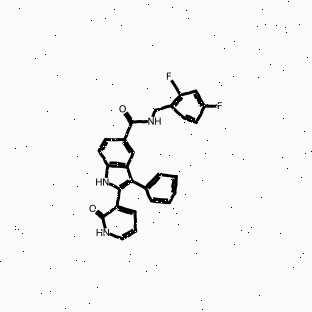 O=C(NCc1ccc(F)cc1F)c1ccc2[nH]c(-c3ccc[nH]c3=O)c(-c3ccccc3)c2c1